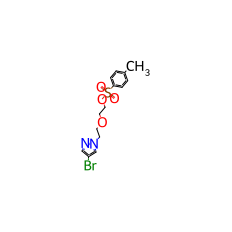 Cc1ccc(S(=O)(=O)OCCOCCn2cc(Br)cn2)cc1